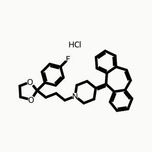 Cl.Fc1ccc(C2(CCCN3CCC(=C4c5ccccc5C=Cc5ccccc54)CC3)OCCO2)cc1